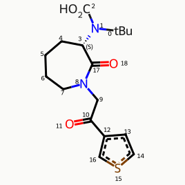 CC(C)(C)N(C(=O)O)[C@H]1CCCCN(CC(=O)c2ccsc2)C1=O